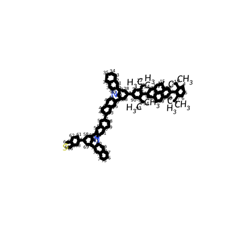 CC(C)c1cccc(C(C)C)c1-c1cc2ccc3cc(-c4c(C(C)C)cc(-c5cc6c7cc8ccccc8cc7n7c8cc9ccc(-c%10ccc%11cc%12c(cc%11c%10)c%10cc(-c%11ccc%13cscc%13c%11)cc%11c%13cc%14ccccc%14cc%13n%12c%11%10)cc9cc8c(c5)c67)cc4C(C)C)cc4ccc(c1)c2c34